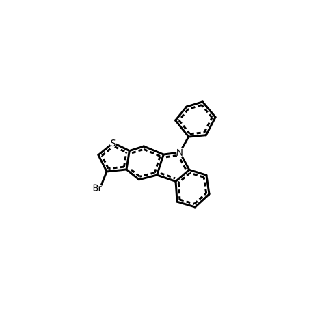 Brc1csc2cc3c(cc12)c1ccccc1n3-c1ccccc1